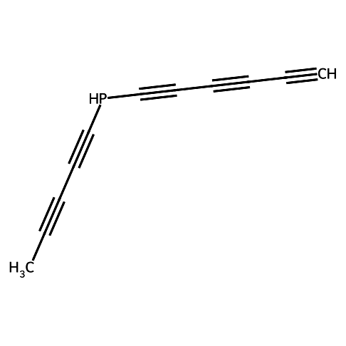 C#CC#CC#CPC#CC#CC